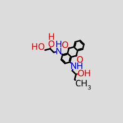 CCC(O)CNc1ccc(NCC(O)CO)c2c1C(=O)c1ccccc1C2=O